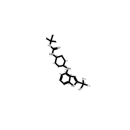 CC(C)(C)OC(=O)NC1CCC(Nc2cccc3sc(C(F)(F)F)cc23)CC1